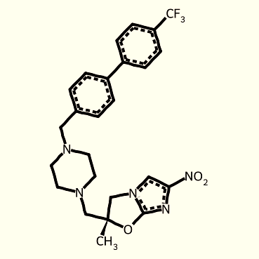 C[C@@]1(CN2CCN(Cc3ccc(-c4ccc(C(F)(F)F)cc4)cc3)CC2)Cn2cc([N+](=O)[O-])nc2O1